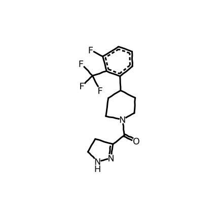 O=C(C1=NNCC1)N1CCC(c2cccc(F)c2C(F)(F)F)CC1